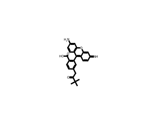 CC(C)(C)C(=O)Cc1ccc(C(=O)O)c(-c2c3ccc(=N)cc-3oc3cc(N)ccc23)c1